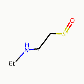 CCN[CH]C[S+]=O